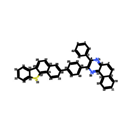 c1ccc(-c2nc3ccc4ccccc4c3nc2-c2ccc(-c3ccc4c(ccc5c6ccccc6sc45)c3)cc2)cc1